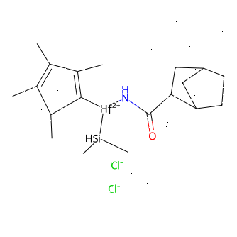 CC1=C(C)C(C)[C]([Hf+2]([NH]C(=O)C2CC3CCC2C3)[SiH](C)C)=C1C.[Cl-].[Cl-]